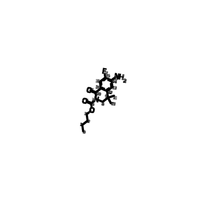 CCCCOC(=O)N1CC(C)(C)c2cc(N)c(F)cc2C1=O